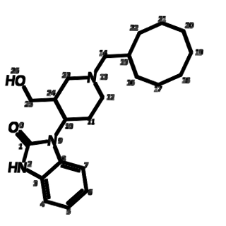 O=c1[nH]c2ccccc2n1C1CCN(CC2CCCCCCC2)CC1CO